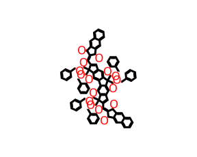 O=C1C(=CC2=Cc3cc4c(cc3C2(C(=O)OCc2ccccc2)C(=O)OCc2ccccc2)-c2cc3c(cc2C4(C(=O)OCc2ccccc2)C(=O)OCc2ccccc2)C=C(C=C2C(=O)c4cc5ccccc5cc4C2=O)C3(C(=O)OCc2ccccc2)C(=O)OCc2ccccc2)C(=O)c2cc3ccccc3cc21